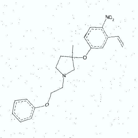 C=Cc1cc(OC2(C)CCN(CCOc3ccccc3)C2)ccc1[N+](=O)[O-]